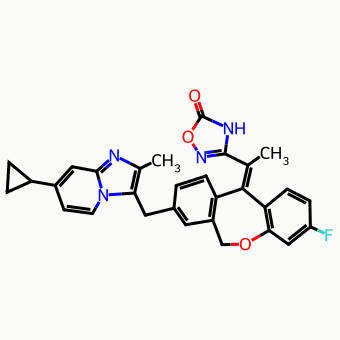 CC(=C1c2ccc(Cc3c(C)nc4cc(C5CC5)ccn34)cc2COc2cc(F)ccc21)c1noc(=O)[nH]1